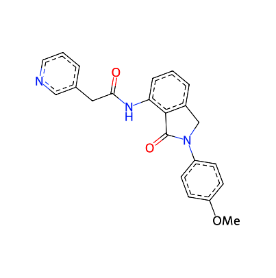 COc1ccc(N2Cc3cccc(NC(=O)Cc4cccnc4)c3C2=O)cc1